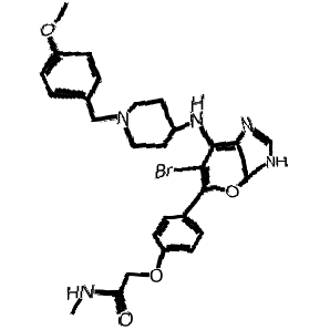 CNC(=O)COc1ccc(C2=C(Br)C(NC3CCN(Cc4ccc(OC)cc4)CC3)=C3N=CNC3O2)cc1